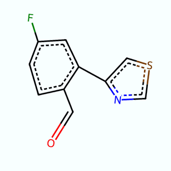 O=Cc1ccc(F)cc1-c1cscn1